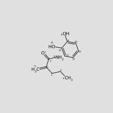 C=C(CCC)C(N)=O.Oc1ccccc1O